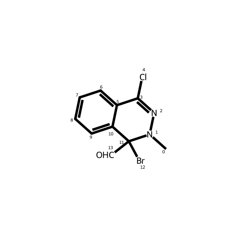 CN1N=C(Cl)c2ccccc2C1(Br)C=O